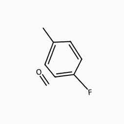 C=O.Cc1ccc(F)cc1